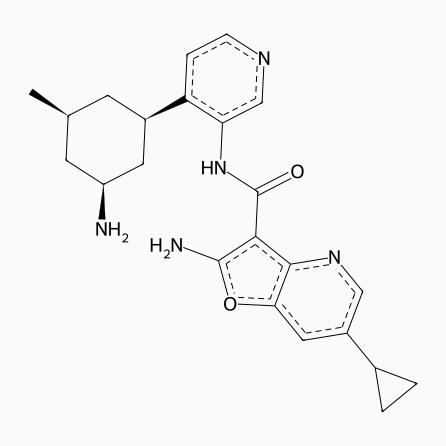 C[C@@H]1C[C@H](N)C[C@H](c2ccncc2NC(=O)c2c(N)oc3cc(C4CC4)cnc23)C1